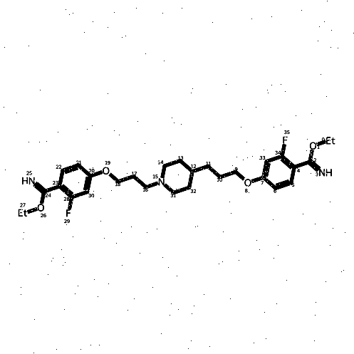 CCOC(=N)c1ccc(OCCCC2CCN(CCCOc3ccc(C(=N)OCC)c(F)c3)CC2)cc1F